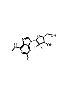 CNc1nc(Cl)nc2c1ncn2[C@@H]1O[C@H](CO)[C@@H](O)[C@@]1(C)F